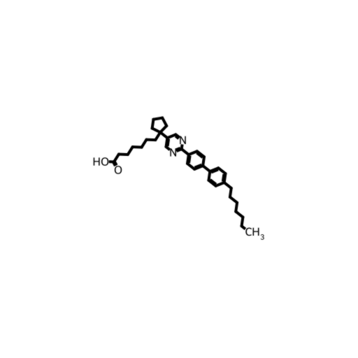 CCCCCCCc1ccc(-c2ccc(-c3ncc(C4(CCCCCCC(=O)O)CCCC4)cn3)cc2)cc1